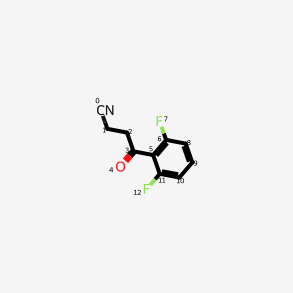 N#CCCC(=O)c1c(F)cccc1F